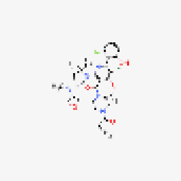 C=CC(=O)N1CCN2C(=O)c3c(N4C[C@H](N(C)C5COC5)CC4(C)C)nc(-c4c(O)cccc4F)c(Cl)c3OC[C@H]2C1